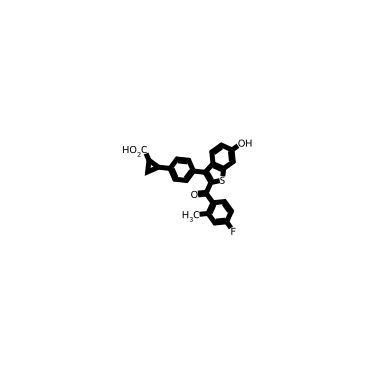 Cc1cc(F)ccc1C(=O)c1sc2cc(O)ccc2c1-c1ccc(C2CC2C(=O)O)cc1